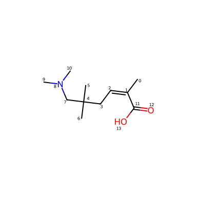 CC(=CCC(C)(C)CN(C)C)C(=O)O